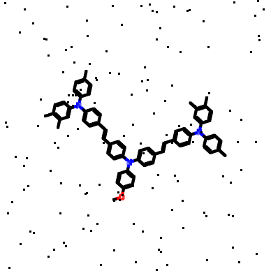 COc1ccc(N(c2ccc(/C=C/c3ccc(N(c4ccc(C)cc4)c4ccc(C)c(C)c4)cc3)cc2)c2ccc(/C=C/c3ccc(N(c4ccc(C)cc4)c4ccc(C)c(C)c4)cc3)cc2)cc1